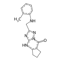 Cc1ccccc1NCc1nc2[nH]c3c(c(=O)n2n1)CCC3